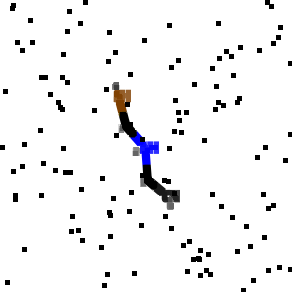 N#CCNCS